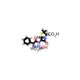 CC1(C)S[C@@H]2[C@H](NC(=O)[C@H](N)c3ccccc3)C(=O)N2[C@H]1C(=O)O.O=S(=O)(O)O